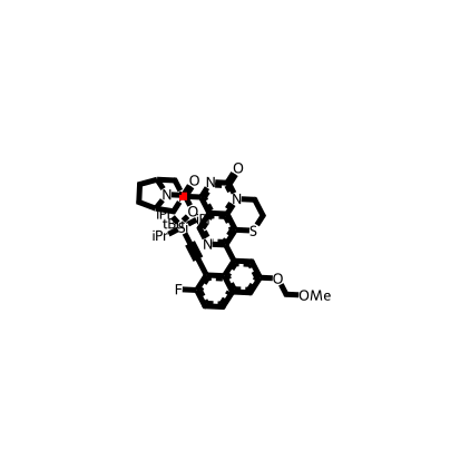 COCOc1cc(-c2ncc3c(N4CC5CCC(C4)N5C(=O)OC(C)(C)C)nc(=O)n4c3c2SCC4)c2c(C#C[Si](C(C)C)(C(C)C)C(C)C)c(F)ccc2c1